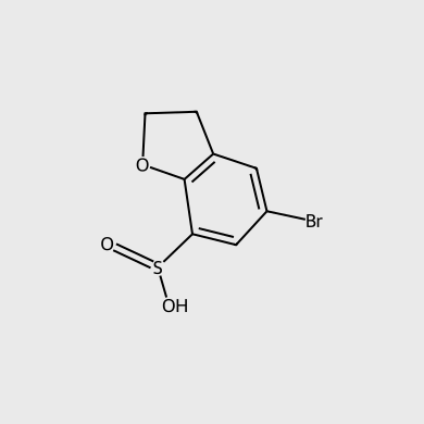 O=S(O)c1cc(Br)cc2c1OCC2